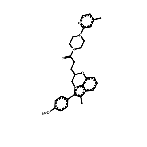 COc1ccc(-c2c(C)c3cccc4c3n2CC(CCC(=O)N2CCN(c3cc(C)ccn3)CC2)O4)cc1